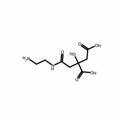 NCCNC(=O)CC(O)(CC(=O)O)C(=O)O